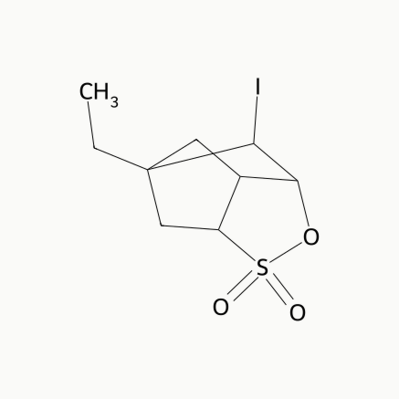 CCC12CC3C(OS(=O)(=O)C3C1)C2I